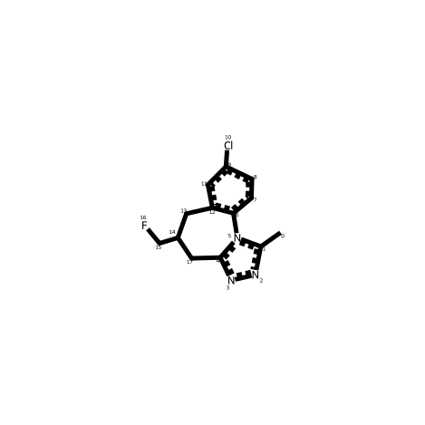 Cc1nnc2n1-c1ccc(Cl)cc1CC(CF)C2